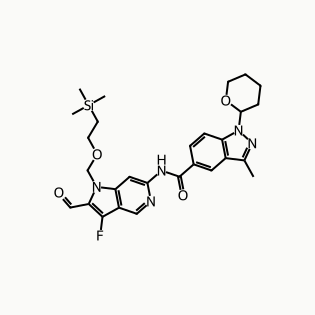 Cc1nn(C2CCCCO2)c2ccc(C(=O)Nc3cc4c(cn3)c(F)c(C=O)n4COCC[Si](C)(C)C)cc12